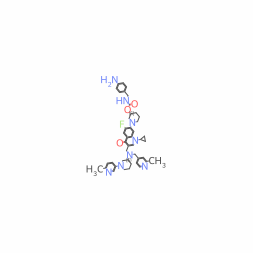 Cc1ccc(N2CCC[C@H](N(Cc3ccnc(C)c3)Cc3cn(C4CC4)c4cc(N5CCC[C@H](OC(=O)NCc6ccc(N)cc6)C5)c(F)cc4c3=O)C2)cn1